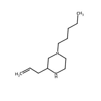 C=CCC1CN(CCCCC)CCN1